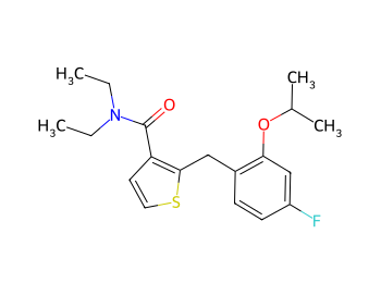 CCN(CC)C(=O)c1ccsc1Cc1ccc(F)cc1OC(C)C